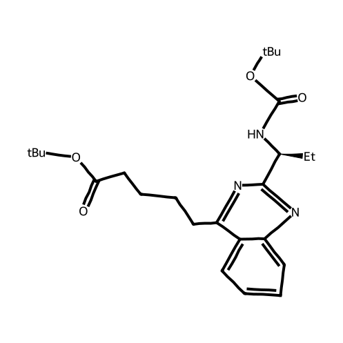 CC[C@H](NC(=O)OC(C)(C)C)c1nc(CCCCC(=O)OC(C)(C)C)c2ccccc2n1